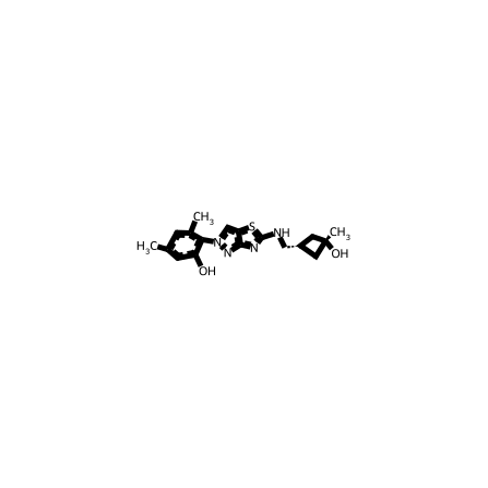 Cc1cc(C)c(-n2cc3sc(NC[C@H]4C[C@@](C)(O)C4)nc3n2)c(O)c1